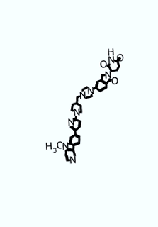 Cn1c2ccncc2c2ccc(-c3ccc(N4CCC(CN5CCN(c6ccc7c(c6)CN(C6CCC(=O)NC6=O)C7=O)CC5)CC4)nc3)cc21